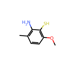 COc1ccc(C)c(N)c1S